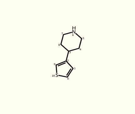 c1cc(C2CCNCC2)cs1